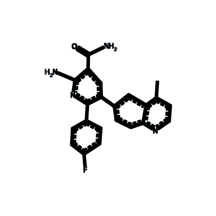 Cc1ccnc2ccc(-c3cc(C(N)=O)c(N)nc3-c3ccc(F)cc3)cc12